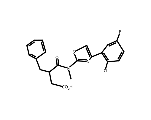 CN(C(=O)C(CC(=O)O)Cc1ccccc1)c1nc(-c2cc(F)ccc2Cl)cs1